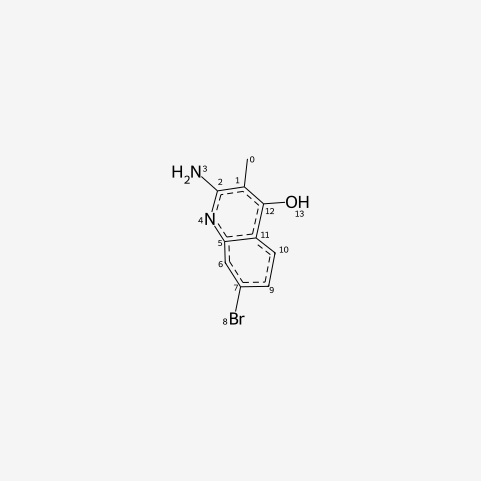 Cc1c(N)nc2cc(Br)ccc2c1O